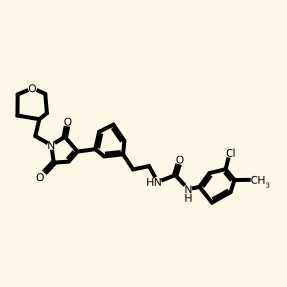 Cc1ccc(NC(=O)NCCc2cccc(C3=CC(=O)N(CC4CCOCC4)C3=O)c2)cc1Cl